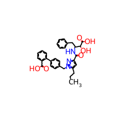 CCCc1cc(C(=O)NC(Cc2ccccc2)C(O)C(=O)O)nn1Cc1ccc(-c2ccccc2C(=O)O)cc1